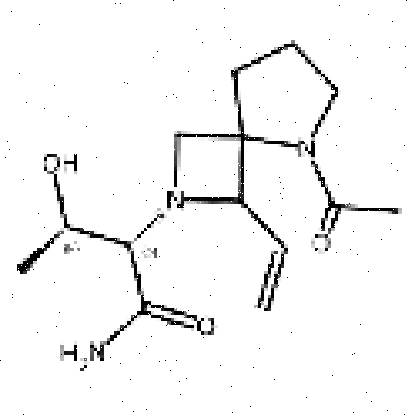 C=CC1N([C@H](C(N)=O)[C@@H](C)O)CC12CCCN2C(C)=O